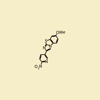 COc1ccc2c(c1)sc1nc(-c3ccc([N+](=O)[O-])nc3)cn12